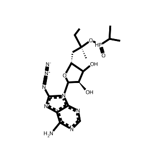 CC[C@](C)(C[C@H]1OC(n2c(N=[N+]=[N-])nc3c(N)ncnc32)[C@H](O)C1O)O[PH](=O)C(C)C